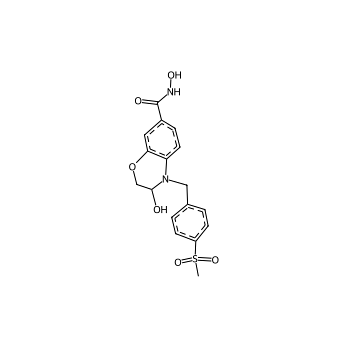 CS(=O)(=O)c1ccc(CN2c3ccc(C(=O)NO)cc3OCC2O)cc1